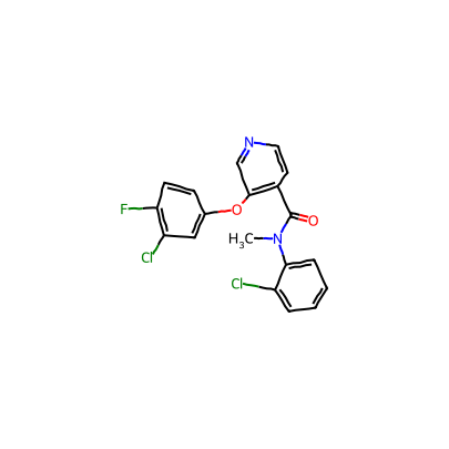 CN(C(=O)c1ccncc1Oc1ccc(F)c(Cl)c1)c1ccccc1Cl